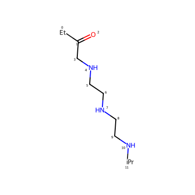 CCC(=O)CNCCNCCNC(C)C